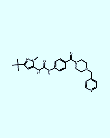 Cn1nc(C(C)(C)C)cc1NC(=O)Nc1ccc(C(=O)N2CCN(Cc3ccncc3)CC2)cc1